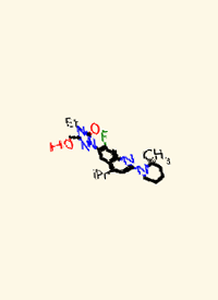 CCn1c(CO)nn(-c2cc3c(C(C)C)cc(N4CCCC[C@H]4C)nc3cc2F)c1=O